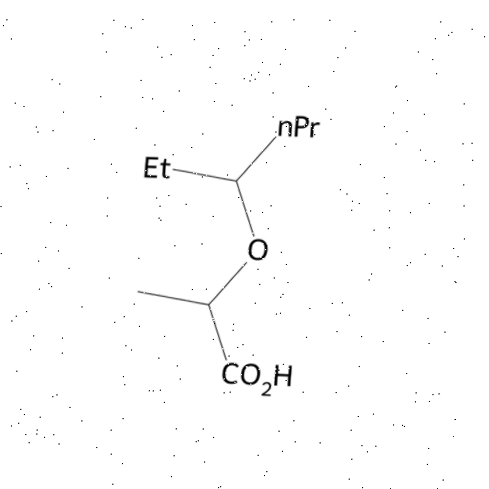 CCCC(CC)OC(C)C(=O)O